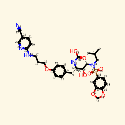 CC(C)CN(C[C@@H](O)[C@H](Cc1ccc(OCCCNc2ccc(C#N)cn2)cc1)NC(=O)O)S(=O)(=O)c1ccc2c(c1)OCO2